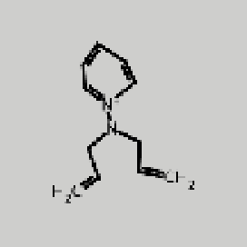 C=CCN(CC=C)[n+]1ccccc1